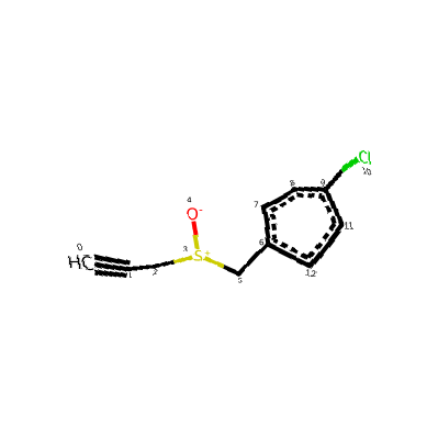 C#CC[S+]([O-])Cc1ccc(Cl)cc1